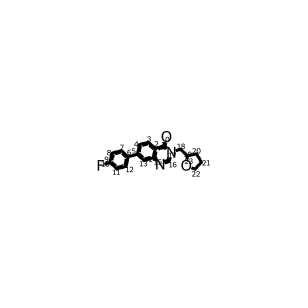 O=c1c2ccc(-c3ccc(F)cc3)cc2ncn1CC1CCCO1